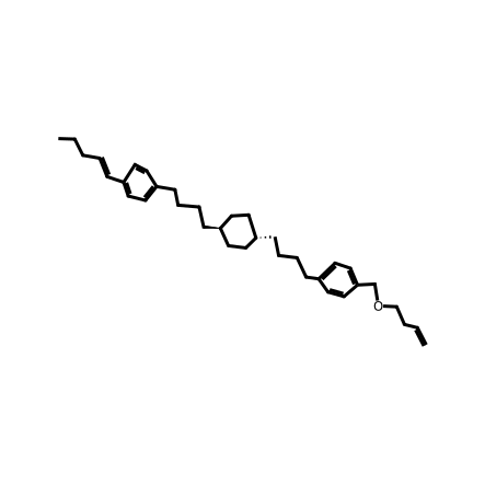 C=CCCOCc1ccc(CCCC[C@H]2CC[C@H](CCCCc3ccc(/C=C/CCC)cc3)CC2)cc1